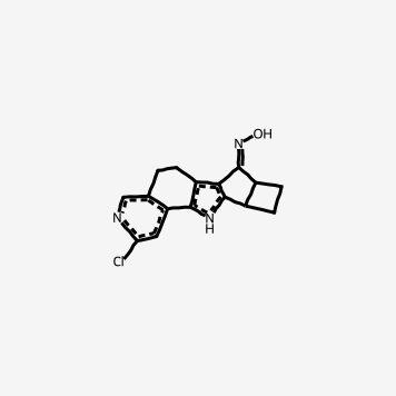 ON=C1c2c([nH]c3c2CCc2cnc(Cl)cc2-3)C2CCC12